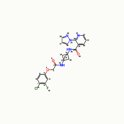 O=C(COc1ccc(Cl)c(F)c1)NC12CC(NC(=O)c3cccnc3-n3cccn3)(C1)C2